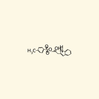 Cc1ccc(S(=O)(=O)OC[C@H](O)Cc2cc3ccccc3[nH]2)cc1